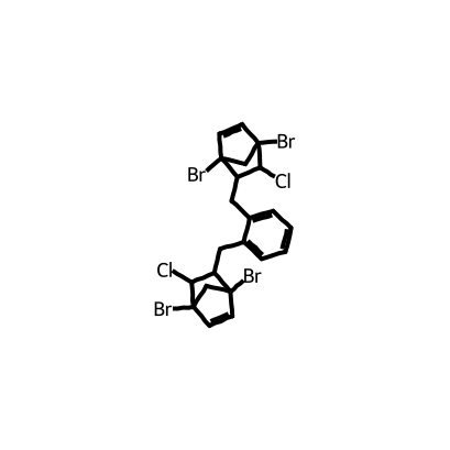 ClC1C(Cc2ccccc2CC2C(Cl)C3(Br)C=CC2(Br)C3)C2(Br)C=CC1(Br)C2